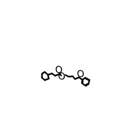 O=C(CCC1CCCCC1)OCCCCC(=O)c1ccccc1